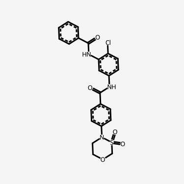 O=C(Nc1ccc(Cl)c(NC(=O)c2ccccc2)c1)c1ccc(N2CCOCS2(=O)=O)cc1